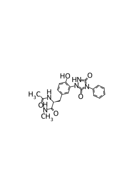 CNC(=O)[C@H](Cc1ccc(O)c(-n2[nH]c(=O)n(-c3ccccc3)c2=O)c1)NC(C)=O